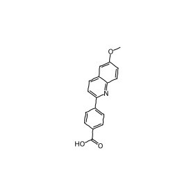 COc1ccc2nc(-c3ccc(C(=O)O)cc3)ccc2c1